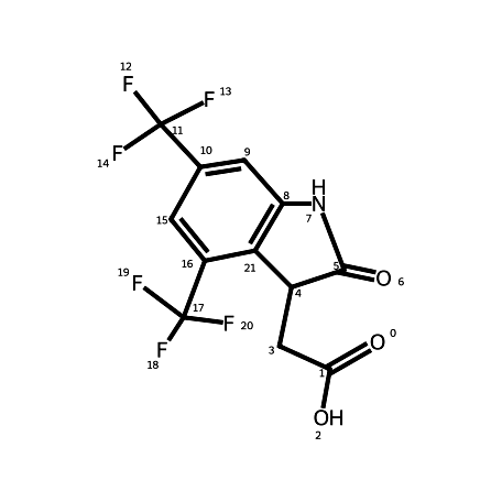 O=C(O)CC1C(=O)Nc2cc(C(F)(F)F)cc(C(F)(F)F)c21